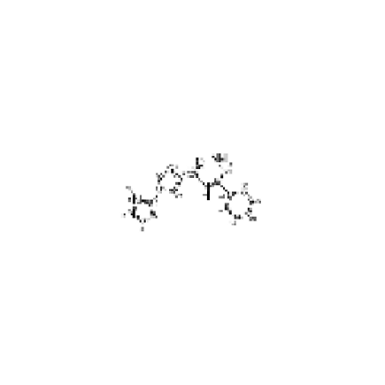 Cn1nccc1-c1csc(C(=O)NC(CN)c2ccccc2)c1